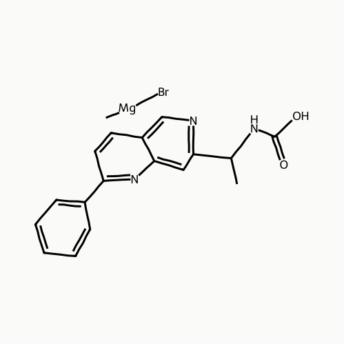 CC(NC(=O)O)c1cc2nc(-c3ccccc3)ccc2cn1.[CH3][Mg][Br]